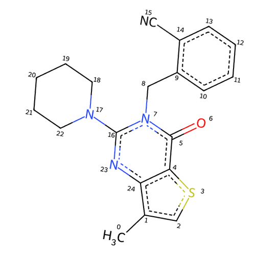 Cc1csc2c(=O)n(Cc3ccccc3C#N)c(N3CCCCC3)nc12